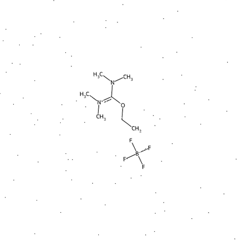 CCOC(N(C)C)=[N+](C)C.F[B-](F)(F)F